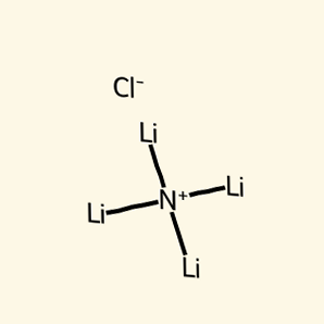 [Cl-].[Li][N+]([Li])([Li])[Li]